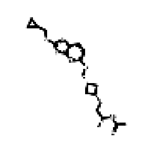 CC(=O)N[C@@H](C)CO[C@H]1C[C@H](COc2ccc3nc(OCC4CC4)sc3n2)C1